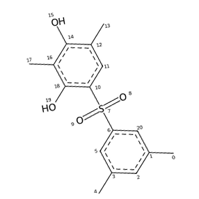 Cc1cc(C)cc(S(=O)(=O)c2cc(C)c(O)c(C)c2O)c1